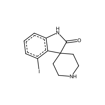 O=C1Nc2cccc(I)c2C12CCNCC2